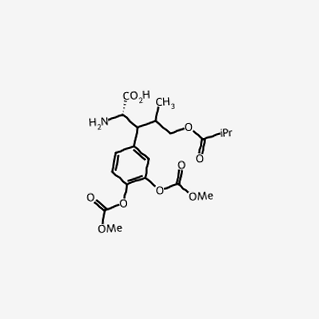 COC(=O)Oc1ccc(C(C(C)COC(=O)C(C)C)[C@H](N)C(=O)O)cc1OC(=O)OC